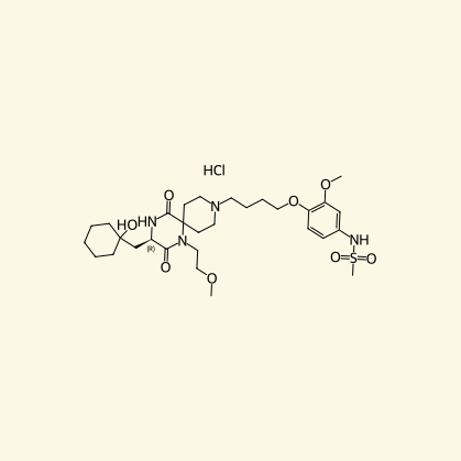 COCCN1C(=O)[C@@H](CC2(O)CCCCC2)NC(=O)C12CCN(CCCCOc1ccc(NS(C)(=O)=O)cc1OC)CC2.Cl